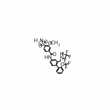 COc1cc(C(=O)Nc2ccc(-c3ccccc3OC(F)(F)F)c(CNCC(F)(F)F)c2)ccc1S(N)(=O)=O